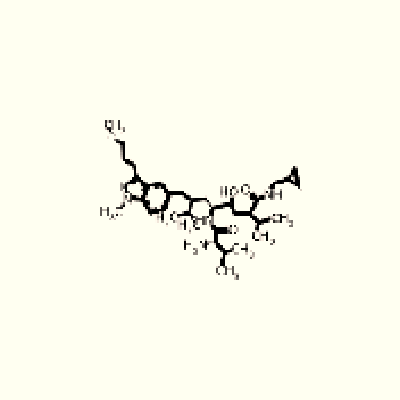 COCCCc1nn(C)c2ccc(CC(C[C@H](NC(=O)[C@@H](N)C(C)C)C(O)CC(C(=O)NCC3CC3)C(C)C)C(C)C)cc12